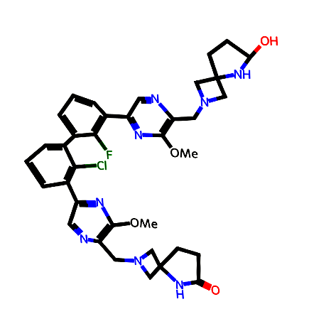 COc1nc(-c2cccc(-c3cccc(-c4cnc(CN5CC6(CCC(=O)N6)C5)c(OC)n4)c3Cl)c2F)cnc1CN1CC2(CCC(O)N2)C1